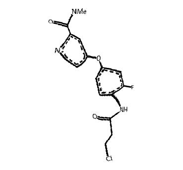 CNC(=O)c1cc(Oc2ccc(NC(=O)CCCl)c(F)c2)ccn1